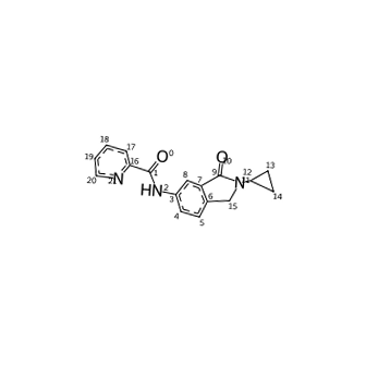 O=C(Nc1ccc2c(c1)C(=O)N(C1CC1)C2)c1ccccn1